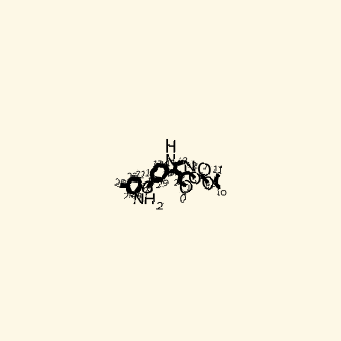 COCc1c(OC(=O)OC(C)C)ncc2[nH]c3ccc(Oc4ccc(C)cc4N)cc3c12